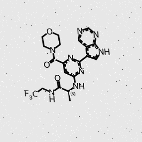 C[C@H](Nc1cc(C(=O)N2CCOCC2)nc(-c2c[nH]c3ncncc23)n1)C(=O)NCC(F)(F)F